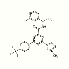 CC(NC(=O)c1cc(-c2ccc(C(F)(F)F)cc2)nc(-c2cnn(C)c2)n1)c1ccnc(F)c1